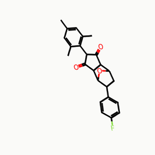 Cc1cc(C)c(C2C(=O)C3C4CC(c5ccc(F)cc5)C(O4)C3C2=O)c(C)c1